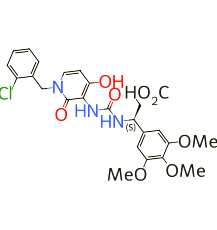 COc1cc([C@H](CC(=O)O)NC(=O)Nc2c(O)ccn(Cc3ccccc3Cl)c2=O)cc(OC)c1OC